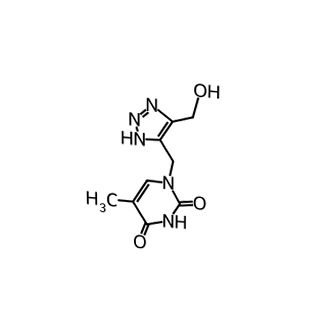 Cc1cn(Cc2[nH]nnc2CO)c(=O)[nH]c1=O